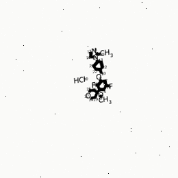 COC1(c2cc(F)cc(OCc3ccc(-n4ccnc4C)cc3)c2F)CCOCC1.Cl